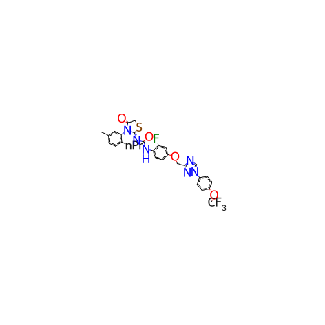 CCCc1ccc(C)cc1N1C(=O)CS/C1=N\C(=O)Nc1ccc(OCc2ncn(-c3ccc(OC(F)(F)F)cc3)n2)cc1F